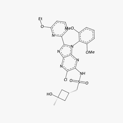 CCOc1cccc(-c2nc3nc(Cl)c(NS(=O)(=O)C[C@H]4C[C@](C)(O)C4)nc3n2-c2c(OC)cccc2OC)n1